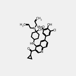 C=CCN(CC=C)C1(C)CCC(Nc2c(C(=O)C3CC3)cnc3ccc(-c4cc(Cl)c(O)c(OC)c4)cc23)CC1